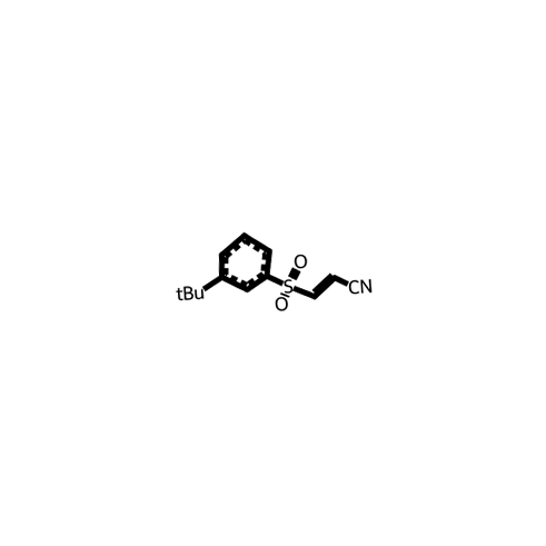 CC(C)(C)c1cccc(S(=O)(=O)/C=C/C#N)c1